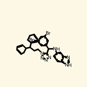 Brc1cc(Br)cc(C(Nc2ccc3[nH]cnc3c2)c2nnnn2CCC(C2=CC=CCC2)C2C=CC=CC2)c1